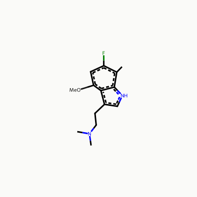 COc1cc(F)c(C)c2[nH]cc(CCN(C)C)c12